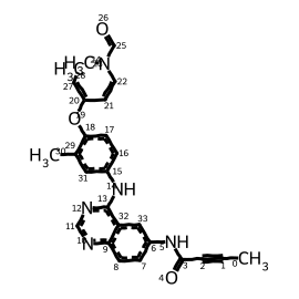 CC#CC(=O)Nc1ccc2ncnc(Nc3ccc(OC(/C=C\N(C)C=O)=C/C)c(C)c3)c2c1